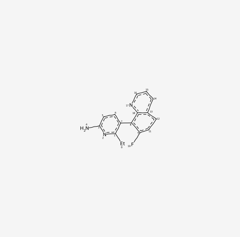 CCc1nc(N)ccc1-c1c(F)ccc2cccnc12